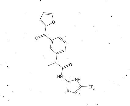 CC(C(=O)NC1NC(C(F)(F)F)=CS1)c1cccc(C(=O)c2ccco2)c1